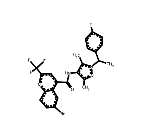 Cc1nn(C(C)c2ccc(F)cc2)c(C)c1NC(=O)c1cc(C(F)(F)F)nc2ccc(Br)cc12